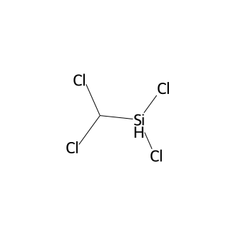 ClC(Cl)[SiH](Cl)Cl